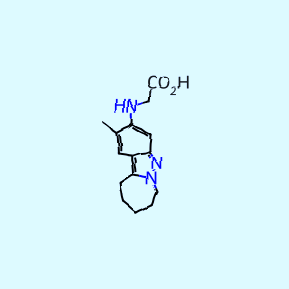 Cc1cc2c3n(nc2cc1NCC(=O)O)CCCCC3